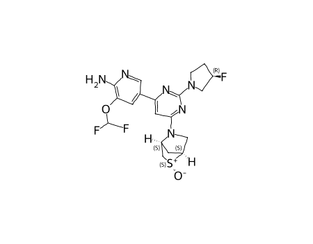 Nc1ncc(-c2cc(N3C[C@@H]4C[C@H]3C[S@@+]4[O-])nc(N3CC[C@@H](F)C3)n2)cc1OC(F)F